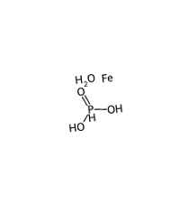 O.O=[PH](O)O.[Fe]